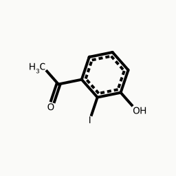 CC(=O)c1cccc(O)c1I